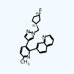 Cc1ccc(-c2cnn(C[C@H]3CC[C@@H](F)C3)c2)c(-c2ccc3cccnc3c2)n1